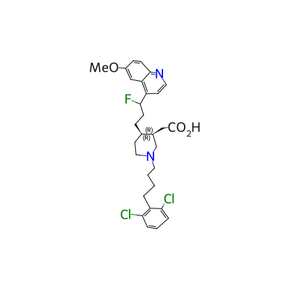 COc1ccc2nccc(C(F)CC[C@@H]3CCN(CCCCc4c(Cl)cccc4Cl)C[C@@H]3CC(=O)O)c2c1